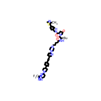 Cc1ncsc1-c1ccc(CNC(=O)C2CC(=O)CN2C(=O)C(NC(=O)CCCCN2CCN(c3ccc(C#Cc4ccc(C5CCN(C6=Nn7c(nnc7C(F)(F)F)CC6)CC5)cc4)cn3)CC2)C(C)(C)C)cc1